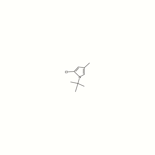 Cc1cc(Cl)n(C(C)(C)C)c1